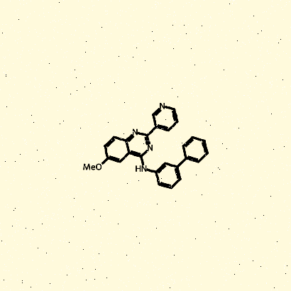 COc1ccc2nc(-c3cccnc3)nc(Nc3cccc(-c4ccccc4)c3)c2c1